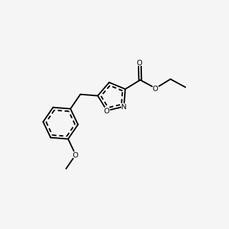 CCOC(=O)c1cc(Cc2cccc(OC)c2)on1